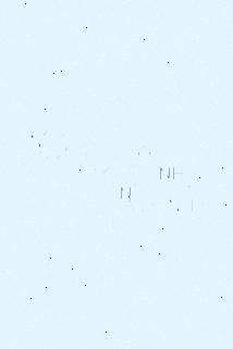 Nc1ccnc(C(=O)c2ccc(-c3ccncc3)cc2)c1N